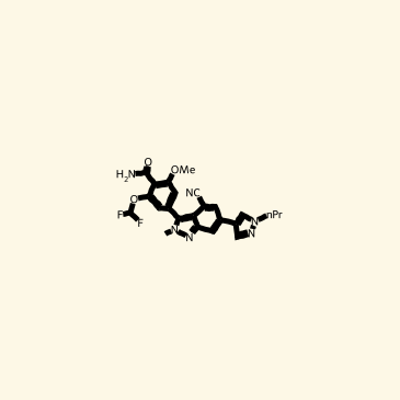 CCCn1cc(-c2cc(C#N)c3c(-c4cc(OC)c(C(N)=O)c(OC(F)F)c4)n(C)nc3c2)cn1